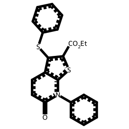 CCOC(=O)c1sc2c(ccc(=O)n2-c2ccccc2)c1Sc1ccccc1